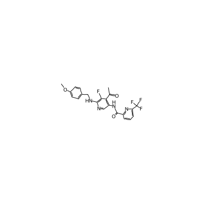 COc1ccc(CNc2ncc(NC(=O)c3cccc(C(F)(F)F)n3)c(C(C)=O)c2F)cc1